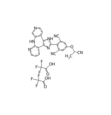 CC(C#N)Oc1cc(C#N)c(-c2nc3c([nH]2)-c2ccncc2Nc2ncccc2-3)c(C#N)c1.O=C(O)C(F)(F)F.O=C(O)C(F)(F)F